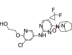 O=C([C@@H]1CC1(F)F)N1C2CCC1CN(c1ccnc(Nc3cnc(OCCO)c(Cl)c3)n1)C2